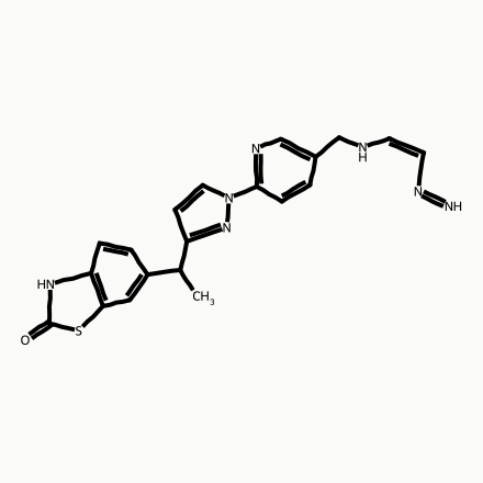 CC(c1ccc2[nH]c(=O)sc2c1)c1ccn(-c2ccc(CN/C=C\N=N)cn2)n1